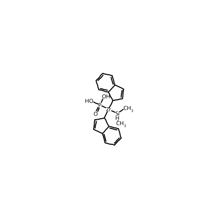 C[SiH](C)[Zr]([CH]1C=Cc2ccccc21)([CH]1C=Cc2ccccc21)[P](=O)(O)O